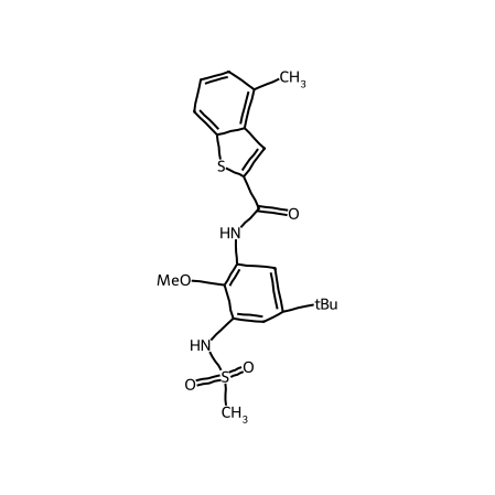 COc1c(NC(=O)c2cc3c(C)cccc3s2)cc(C(C)(C)C)cc1NS(C)(=O)=O